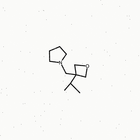 CC(C)C1(CN2CCCC2)COC1